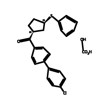 O=C(O)O.O=C(c1ccc(-c2ccc(Cl)cc2)cc1)[C@@H]1CC[C@@H](Sc2ccccc2)C1